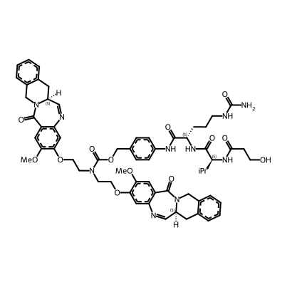 COc1cc2c(cc1OCCN(CCOc1cc3c(cc1OC)C(=O)N1Cc4ccccc4C[C@H]1C=N3)C(=O)OCc1ccc(NC(=O)[C@H](CCCNC(N)=O)NC(=O)[C@@H](NC(=O)CCO)C(C)C)cc1)N=C[C@@H]1Cc3ccccc3CN1C2=O